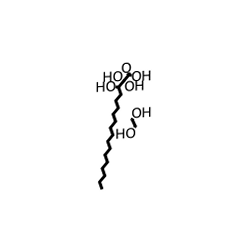 CCCCCCCCCCCCCCCC(O)C(O)(O)C(=O)O.OCCO